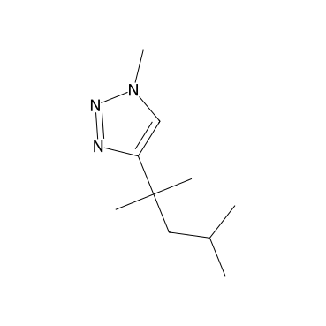 CC(C)CC(C)(C)c1cn(C)nn1